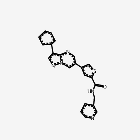 O=C(NCc1cccnc1)c1cc(-c2cnc3c(-c4ccccc4)cnn3c2)cs1